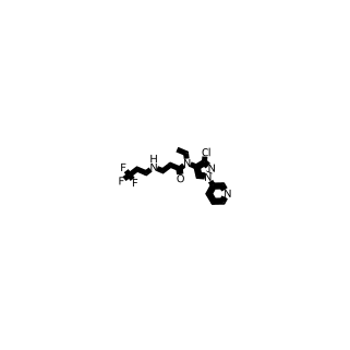 CCN(C(=O)CCNCCC(F)(F)F)c1cn(-c2cccnc2)nc1Cl